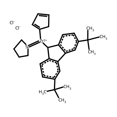 CC(C)(C)c1ccc2c(c1)-c1cc(C(C)(C)C)ccc1[CH]2[Zr+2]([C]1=CC=CC1)=[Si]1CCCC1.[Cl-].[Cl-]